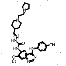 CCOc1cc2ncnc(Nc3ccc(C#N)cc3)c2cc1NC(=O)N/N=C/C1CCN(CCN2CCCC2)CC1